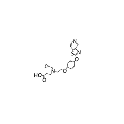 O=C(O)CCN(CCOc1ccc(Oc2nc3cnccc3s2)cc1)CC1CC1